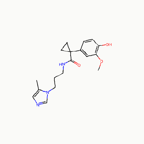 COc1cc(C2(C(=O)NCCCn3cncc3C)CC2)ccc1O